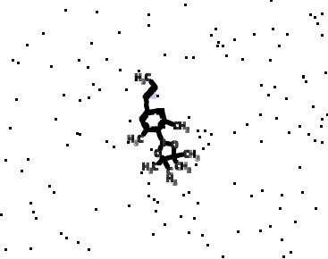 C/C=C/c1cc(C)c(B2OC(C)(C)C(C)(C)O2)c(C)c1